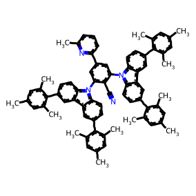 Cc1cc(C)c(-c2ccc3c(c2)c2cc(-c4c(C)cc(C)cc4C)ccc2n3-c2cc(-c3cccc(C)n3)cc(-n3c4ccc(-c5c(C)cc(C)cc5C)cc4c4cc(-c5c(C)cc(C)cc5C)ccc43)c2C#N)c(C)c1